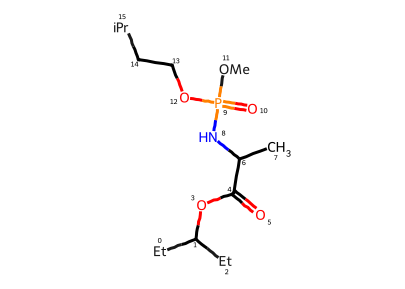 CCC(CC)OC(=O)C(C)NP(=O)(OC)OCCC(C)C